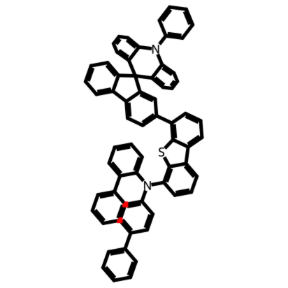 c1ccc(-c2ccc(N(c3ccccc3-c3ccccc3)c3cccc4c3sc3c(-c5ccc6c(c5)C5(c7ccccc7-6)c6ccccc6N(c6ccccc6)c6ccccc65)cccc34)cc2)cc1